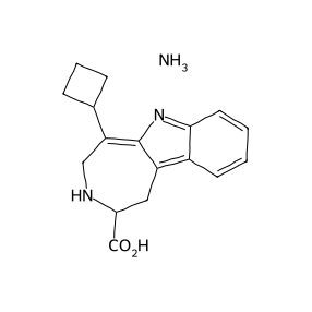 N.O=C(O)C1CC2=c3ccccc3=NC2=C(C2CCC2)CN1